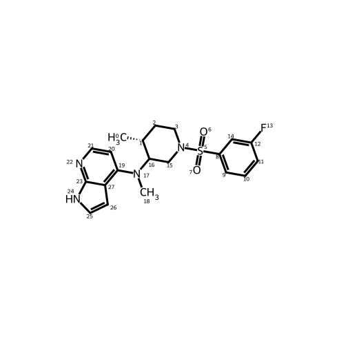 C[C@@H]1CCN(S(=O)(=O)c2cccc(F)c2)CC1N(C)c1ccnc2[nH]ccc12